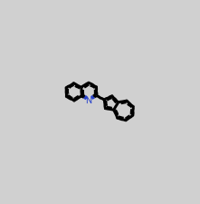 c1ccc2cc(-c3ccc4ccccc4n3)cc-2cc1